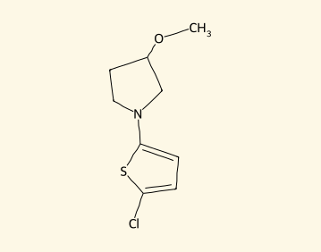 COC1CCN(c2ccc(Cl)s2)C1